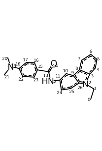 CCn1c2ccccc2c2cc(NC(=O)c3ccc(N(C)C)cc3)ccc21